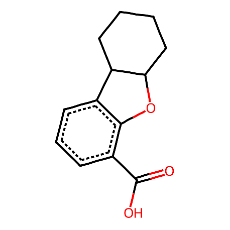 O=C(O)c1cccc2c1OC1CCCCC21